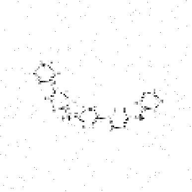 c1ccc(Nc2ccc(-c3ccc(Nc4ccc(-c5ccccc5)cc4)cc3)cc2)cc1